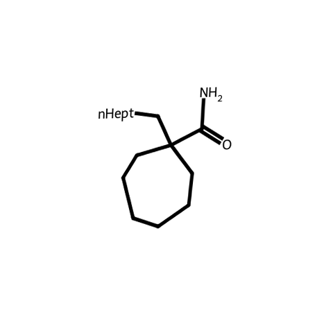 CCCCCCCCC1(C(N)=O)CCCCCC1